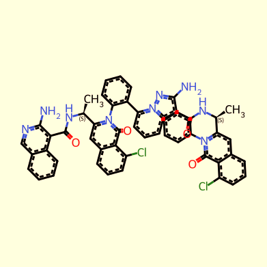 C[C@H](NC(=O)c1c(N)nn2c(-c3ccccc3-n3c([C@H](C)NC(=O)c4c(N)ncc5ccccc45)cc4cccc(Cl)c4c3=O)cccc12)c1cc2cccc(Cl)c2c(=O)n1-c1ccccc1